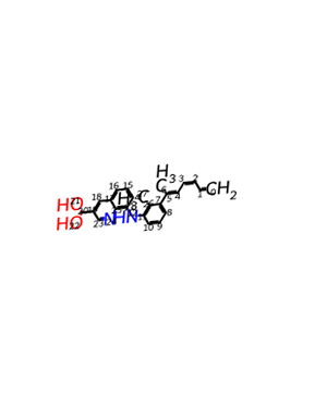 C=C/C=C\C=C(/C)c1cccc(Nc2cccc3cc(C(O)O)cnc23)c1C